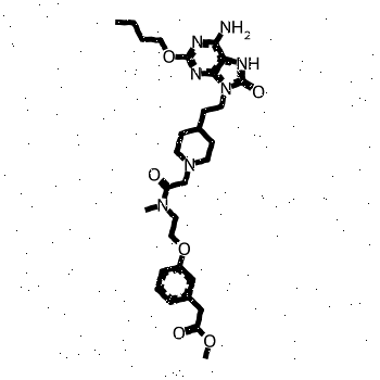 CCCCOc1nc(N)c2[nH]c(=O)n(CCC3CCN(CC(=O)N(C)CCOc4cccc(CC(=O)OC)c4)CC3)c2n1